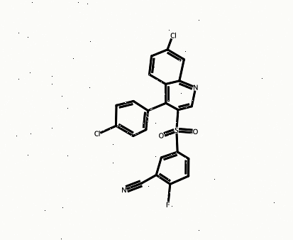 N#Cc1cc(S(=O)(=O)c2cnc3cc(Cl)ccc3c2-c2ccc(Cl)cc2)ccc1F